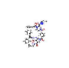 CCCCCCCCNC(=O)C1CN(C(=O)c2ccc(C(=O)N3C[C@@H](C(=O)NC[C@H]4C[C@@H]4c4ccccc4)[C@H](C(=O)N[C@H]4C[C@@H]4c4ccccc4)C3)cc2)CCN1C(=O)CCCCCCC